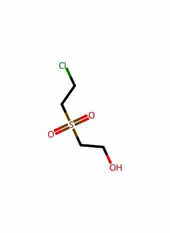 O=S(=O)(CCO)CCCl